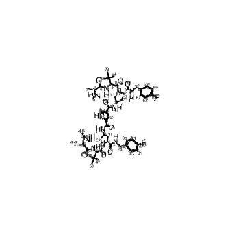 CN[C@@H](C)C(=O)N[C@H](C(=O)N1C[C@@H](NC(=O)c2cc(C(=O)N[C@H]3C[C@@H](C(=O)NCc4ccc(F)cc4)N(C(=O)[C@@H](NC(=O)[C@H](C)NC)C(C)(C)C)C3)[nH]n2)C[C@H]1C(=O)NCc1ccc(F)cc1)C(C)(C)C